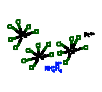 [Cl][Pd-2]([Cl])([Cl])([Cl])([Cl])[Cl].[Cl][Pd-2]([Cl])([Cl])([Cl])([Cl])[Cl].[Cl][Pd-2]([Cl])([Cl])([Cl])([Cl])[Cl].[NH4+].[NH4+].[Pt+4]